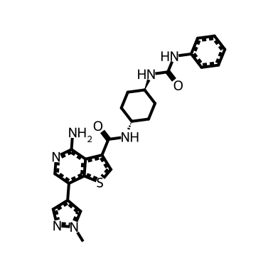 Cn1cc(-c2cnc(N)c3c(C(=O)N[C@H]4CC[C@H](NC(=O)Nc5ccccc5)CC4)csc23)cn1